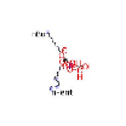 CCCC/C=C\CCCCCCCC(=O)OC[C@H](COP(=O)(O)OC[C@@H](O)CO)OC(=O)CCCC/C=C\C/C=C\C/C=C\CCCCC